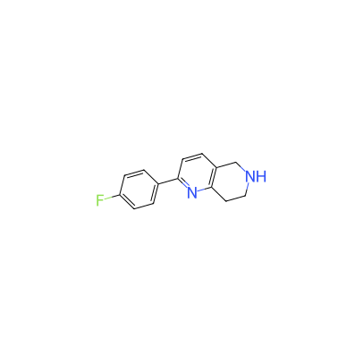 Fc1ccc(-c2ccc3c(n2)CCNC3)cc1